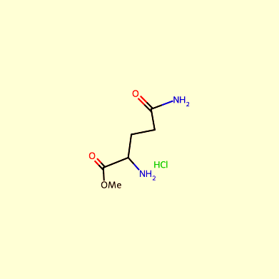 COC(=O)C(N)CCC(N)=O.Cl